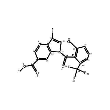 COC(=O)c1cnc2c(I)nn(C(=O)c3c(Cl)cccc3C(F)(F)F)c2c1